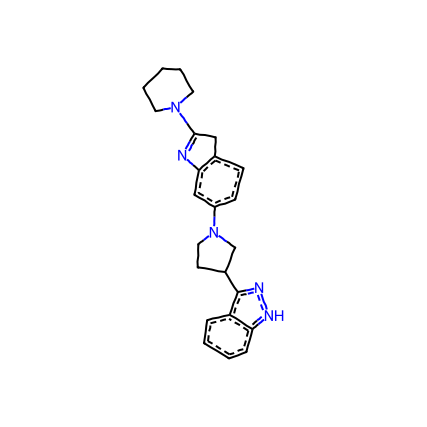 c1ccc2c(C3CCN(c4ccc5c(c4)N=C(N4CCCCC4)C5)C3)n[nH]c2c1